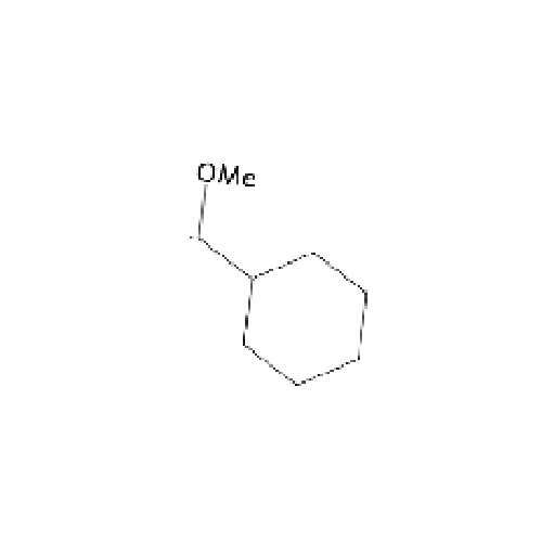 CO[CH]C1CCCCC1